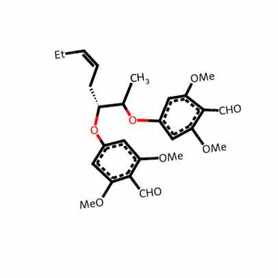 CC/C=C\C[C@@H](Oc1cc(OC)c(C=O)c(OC)c1)C(C)Oc1cc(OC)c(C=O)c(OC)c1